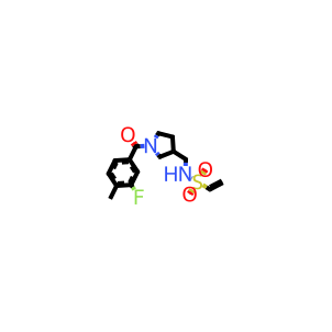 C=CS(=O)(=O)NCC1CCN(C(=O)c2ccc(C)c(F)c2)C1